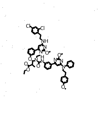 CCOC(=O)C(C)C(Oc1cccc(-c2cc(NCCc3ccc(Cl)cc3Cl)nc(OC)n2)c1)N(CC)C(=O)Nc1cccc(-c2cc(N(CCc3ccc(OC)cc3)c3ccccc3)nc(OC)n2)c1